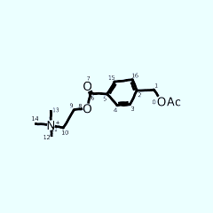 CC(=O)OCc1ccc(C(=O)OCC[N+](C)(C)C)cc1